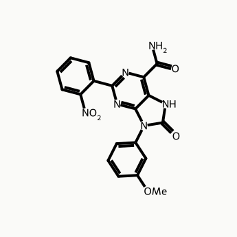 COc1cccc(-n2c(=O)[nH]c3c(C(N)=O)nc(-c4ccccc4[N+](=O)[O-])nc32)c1